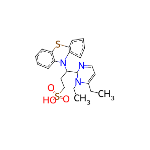 CCC1=CC=NC(C(CCS(=O)(=O)O)N2c3ccccc3Sc3ccccc32)N1CC